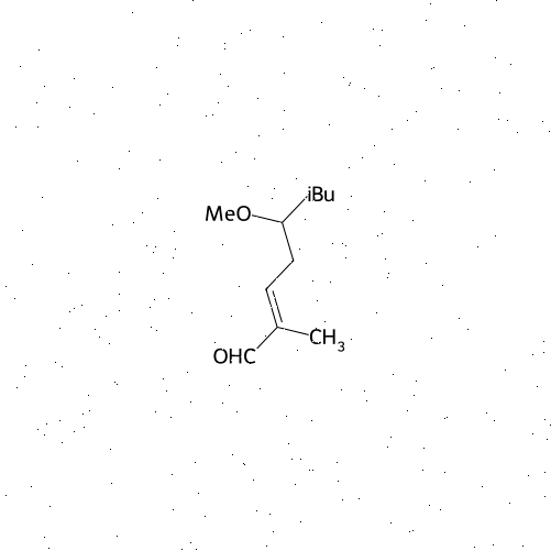 CCC(C)C(CC=C(C)C=O)OC